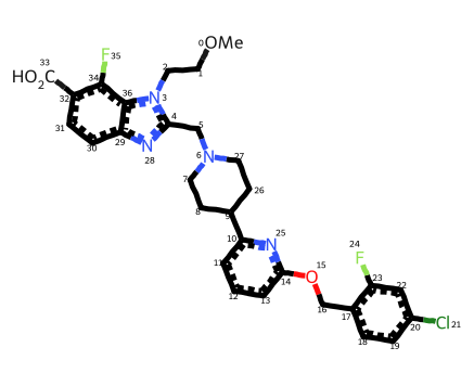 COCCn1c(CN2CCC(c3cccc(OCc4ccc(Cl)cc4F)n3)CC2)nc2ccc(C(=O)O)c(F)c21